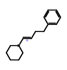 C(=C\N1CCCCC1)/CCc1ccccc1